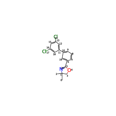 CC1(C)COC(c2cccc(-c3cc(Cl)cc(Cl)c3)c2)=N1